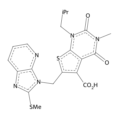 CSc1nc2cccnc2n1Cc1sc2c(c1C(=O)O)c(=O)n(C)c(=O)n2CC(C)C